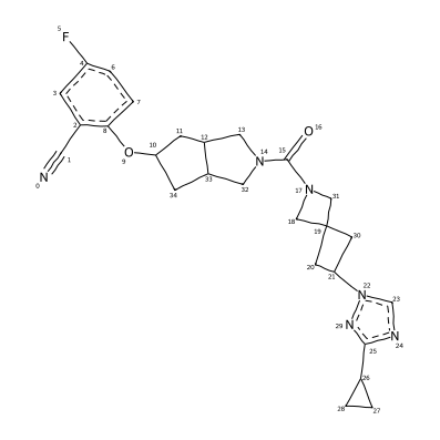 N#Cc1cc(F)ccc1OC1CC2CN(C(=O)N3CC4(CC(n5cnc(C6CC6)n5)C4)C3)CC2C1